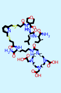 CC[C@H](C)[C@H](NC(=O)[C@H](CCC(C)C)NC(=O)C1(NC(=O)CCSCc2cccc(CSCCC(=O)N[C@H](CCCCNC(=O)CN3CCN(CC(=O)O)CCN(CC(=O)O)CCN(CC(=O)O)CC3)C(N)=O)n2)CCOCC1)C(N)=O